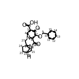 O=C(O)c1cn2c(c(OCc3ccccc3)c1=O)C(=O)N1C[C@H]3CC[C@@]1(C3)C2